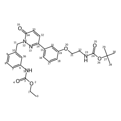 CCOC(=O)Nc1cccc(Cn2nc(-c3cccc(OCCNC(=O)OC(C)(C)C)c3)ccc2=O)c1